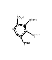 CCCCCc1ccc(S(=O)(=O)O)c(CCCCC)c1CCCCC